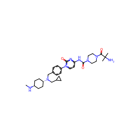 CN[C@H]1CC[C@H](N(Cc2ccc(-n3ccc(NC(=O)N4CCN(C(=O)C(C)(C)N)CC4)nc3=O)cc2)CC2CC2)CC1